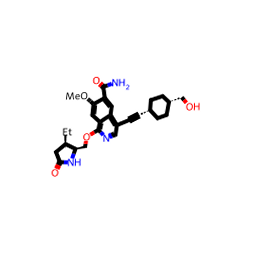 CC[C@@H]1CC(=O)N[C@@H]1COc1ncc(C#C[C@H]2CC[C@@H](CO)CC2)c2cc(C(N)=O)c(OC)cc12